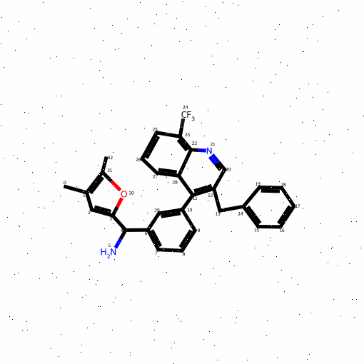 Cc1cc(C(N)c2cccc(-c3c(Cc4ccccc4)cnc4c(C(F)(F)F)cccc34)c2)oc1C